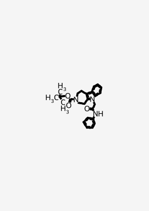 CC(C)(C)OC(=O)N1CCc2c(n(CC(=O)Nc3ccccc3)c3ccccc23)CC1